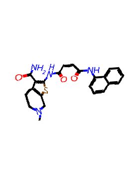 CN1CCc2c(sc(NC(=O)/C=C\C(=O)Nc3cccc4ccccc34)c2C(N)=O)C1